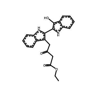 CCOC(=O)CC(=O)Cc1c(-c2[nH]c3ccccc3c2O)[nH]c2ccccc12